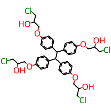 OC(CCl)COc1ccc(C(c2ccc(OCC(O)CCl)cc2)C(c2ccc(OCC(O)CCl)cc2)c2ccc(OCC(O)CCl)cc2)cc1